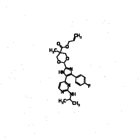 C=CCOC(=O)C1(C)COC(c2nc(-c3ccc(F)cc3)c(-c3ccnc(NC(C)C)n3)[nH]2)OC1